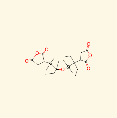 CCC(CC)(C1CC(=O)OC1=O)[Si](C)(C)OC(C)(CC)[Si](C)(C)C1CC(=O)OC1=O